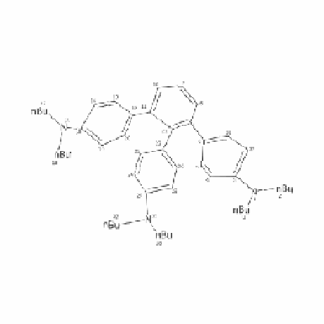 CCCCN(CCCC)c1ccc(-c2cccc(-c3ccc(N(CCCC)CCCC)cc3)c2-c2ccc(N(CCCC)CCCC)cc2)cc1